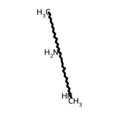 CCCCCCCCCCCCCCCCC(N)CCCCCCCCCCCCCCCCCNCC